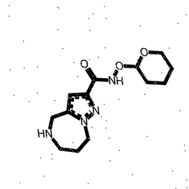 O=C(NOC1CCCCO1)c1cc2n(n1)CCCNC2